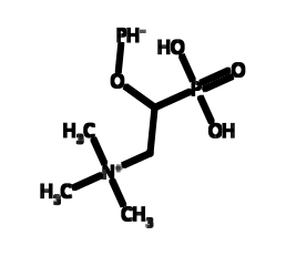 C[N+](C)(C)CC(O[PH-])P(=O)(O)O